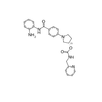 Nc1ccccc1NC(=O)c1ccc(N2CC[C@H](OC(=O)NCc3ccccn3)C2)cc1